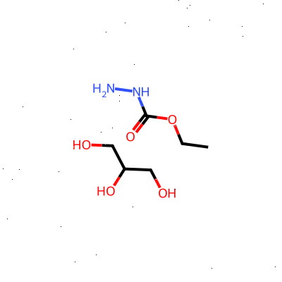 CCOC(=O)NN.OCC(O)CO